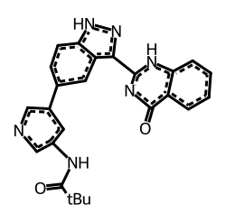 CC(C)(C)C(=O)Nc1cncc(-c2ccc3[nH]nc(-c4nc(=O)c5ccccc5[nH]4)c3c2)c1